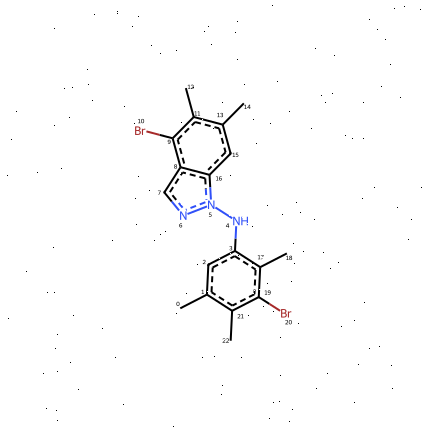 Cc1cc(Nn2ncc3c(Br)c(C)c(C)cc32)c(C)c(Br)c1C